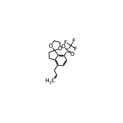 C=CCc1ccc(S(=O)(=O)C(F)(F)F)c2c1CCC21OCCO1